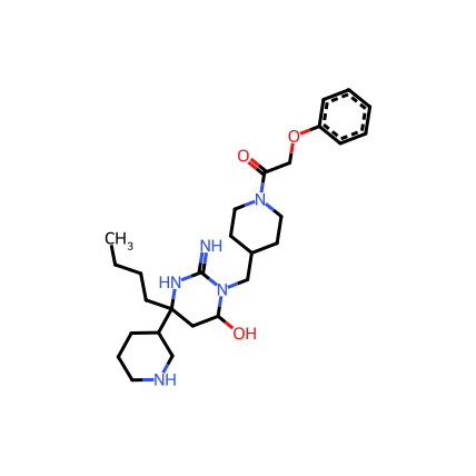 CCCCC1(C2CCCNC2)CC(O)N(CC2CCN(C(=O)COc3ccccc3)CC2)C(=N)N1